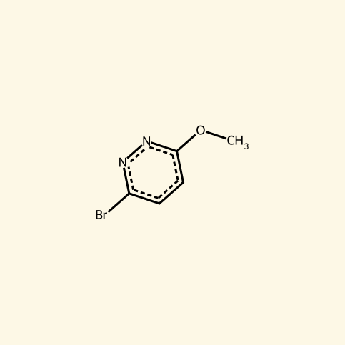 COc1ccc(Br)nn1